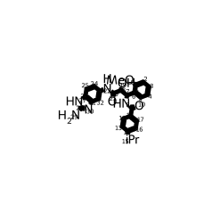 COc1ccccc1C(NC(=O)c1ccc(C(C)C)cc1)C(O)C(=O)Nc1ccc2[nH]c(N)nc2c1